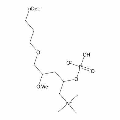 CCCCCCCCCCCCCOCC(CC(C[N+](C)(C)C)OP(=O)([O-])O)OC